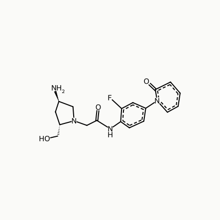 N[C@@H]1C[C@@H](CO)N(CC(=O)Nc2ccc(-n3ccccc3=O)cc2F)C1